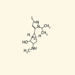 CNC1C[C@@H]2C(c3cc(I)nn3C(C)C)[C@@H]2C1O